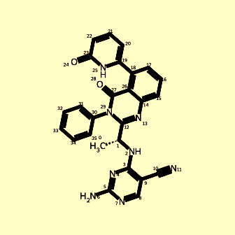 C[C@@H](Nc1nc(N)ncc1C#N)c1nc2cccc(-c3cccc(=O)[nH]3)c2c(=O)n1-c1ccccc1